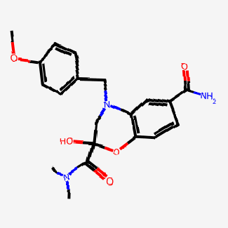 COc1ccc(CN2CC(O)(C(=O)N(C)C)Oc3ccc(C(N)=O)cc32)cc1